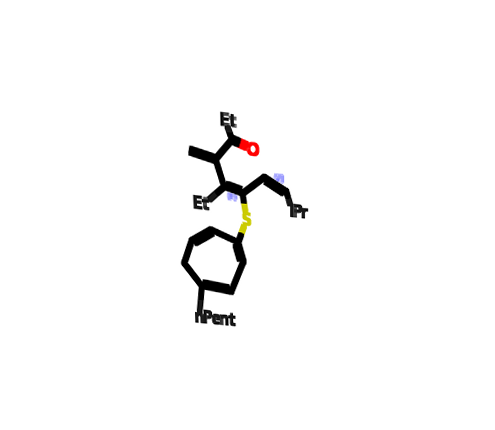 C=C(C(=O)CC)/C(CC)=C(\C=C/C(C)C)SC1=CC=C(CCCCC)CC=C1